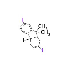 CC1(C)c2cc(I)ccc2[C@H]2CC=C(I)CC21